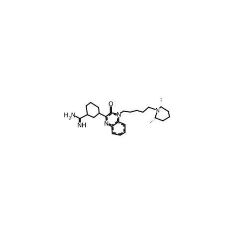 C[C@@H]1CCC[C@H](C)N1CCCCCn1c(=O)c(C2CCCC(C(=N)N)C2)nc2ccccc21